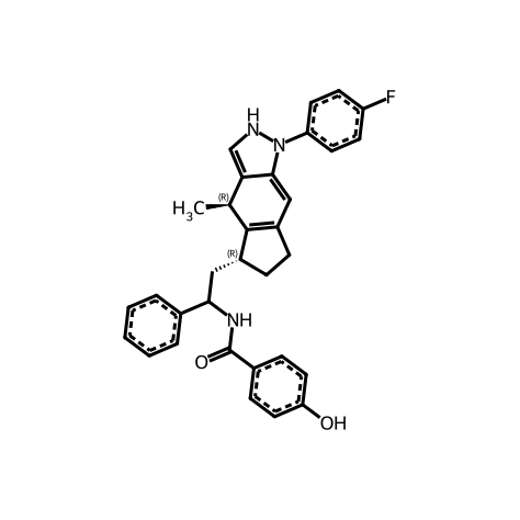 C[C@H]1C2=CNN(c3ccc(F)cc3)C2=CC2=C1[C@@H](CC(NC(=O)c1ccc(O)cc1)c1ccccc1)CC2